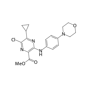 COC(=O)c1nc(Cl)c(C2CC2)nc1Nc1ccc(N2CCOCC2)cc1